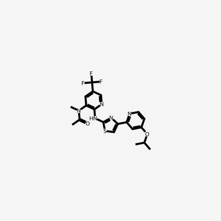 CC(=O)N(C)c1cc(C(F)(F)F)cnc1Nc1nc(-c2cc(OC(C)C)ccn2)cs1